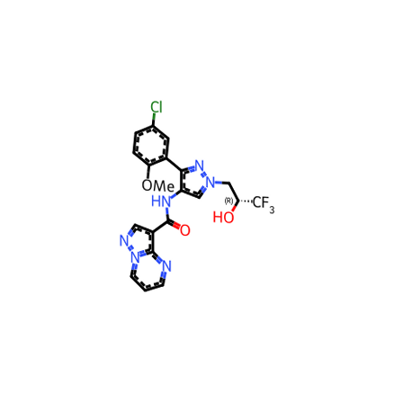 COc1ccc(Cl)cc1-c1nn(C[C@@H](O)C(F)(F)F)cc1NC(=O)c1cnn2cccnc12